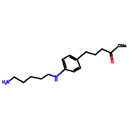 COC(=O)CCCc1ccc(NCCCCCN)cc1